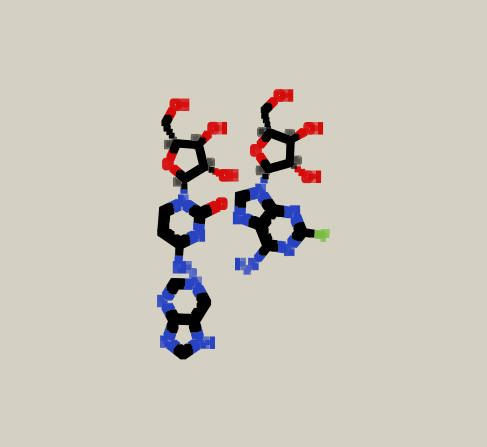 Nc1ccn([C@@H]2O[C@H](CO)[C@@H](O)[C@@H]2O)c(=O)n1.Nc1nc(F)nc2c1ncn2[C@@H]1O[C@H](CO)[C@@H](O)[C@@H]1O.c1ncc2[nH]cnc2n1